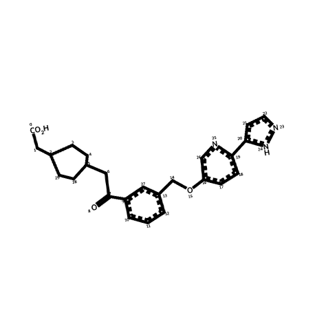 O=C(O)CC1CCC(CC(=O)c2cccc(COc3ccc(-c4ccn[nH]4)nc3)c2)CC1